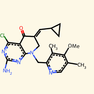 COc1c(C)cnc(CN2CC(=CC3CC3)C(=O)c3c(Cl)nc(N)nc32)c1C